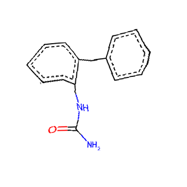 NC(=O)Nc1[c]cccc1-c1ccccc1